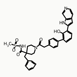 CS(=O)(=O)NC(=O)C1(Cc2ccccc2)CCN(C(=O)Cc2ccc(-c3cccc(-c4cc5ccncc5[nH]4)c3O)cc2)CC1